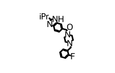 CC(C)c1nc2ccc(C(=O)N3CCN(Cc4ccccc4F)CC3)cc2[nH]1